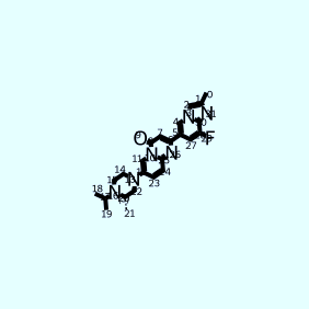 Cc1cn2cc(-c3cc(=O)n4cc(N5CCN(C(C)C)[C@@H](C)C5)ccc4n3)cc(F)c2n1